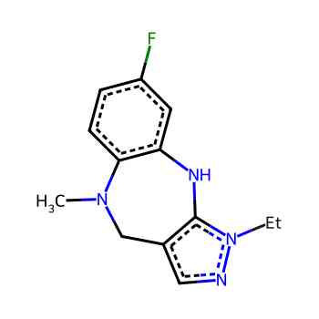 CCn1ncc2c1Nc1cc(F)ccc1N(C)C2